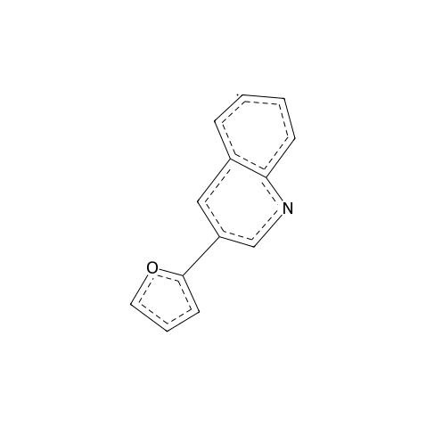 [c]1ccc2ncc(-c3ccco3)cc2c1